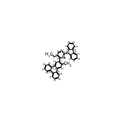 CCc1cnc(-n2c3ccccc3c3ccccc32)nc1-c1cc2c3ccccc3c3ccccc3c2cc1C